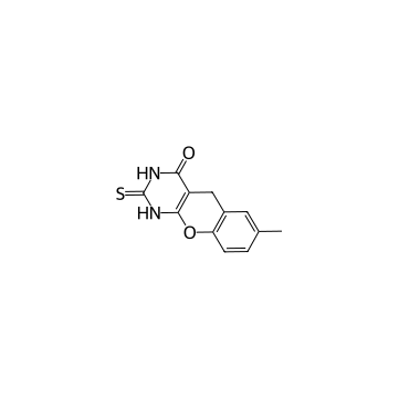 Cc1ccc2c(c1)Cc1c([nH]c(=S)[nH]c1=O)O2